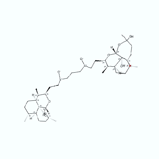 C[C@H]1[C@@H](CC[S+]([O-])CCC[S+]([O-])CC[C@H]2O[C@@H]3O[C@]4(C)CC[C@H]5[C@H](C)CC[C@@H]([C@H]2C)[C@@]35OO4)O[C@@H]2OC(C)(O)CC[C@H]3[C@H](C)CC[C@@H]1[C@@]23O